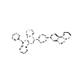 c1ccc(-n2c3ccccc3c3cc(-c4ccc(-c5ccc6c(ccc7ccccc76)c5)cc4)c4ccccc4c32)cc1